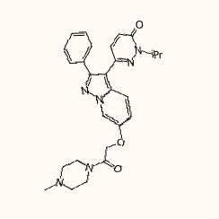 CC(C)n1nc(-c2c(-c3ccccc3)nn3cc(OCC(=O)N4CCN(C)CC4)ccc23)ccc1=O